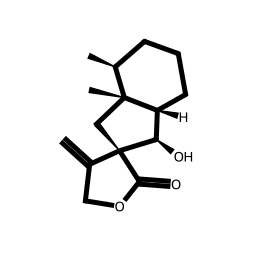 C=C1COC(=O)[C@]12C[C@@]1(C)[C@H](CCC[C@@H]1C)[C@H]2O